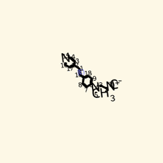 [C-]#[N+]CCN(C)c1ccc(/C=C/c2ccncc2)cc1